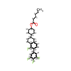 CCCCCC(=O)OC1CCC(C2CCc3c(ccc(-c4cc(F)c(F)c(F)c4)c3F)C2)CC1